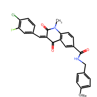 COc1ccc(CNC(=O)c2ccc3c(c2)C(=O)/C(=C/c2ccc(Cl)c(F)c2)C(=O)N3C)cc1